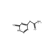 NC(=O)Cc1cc[nH]c(=O)c1